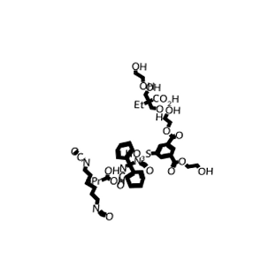 CCC(CO)(CO)C(=O)O.CCCC(O)O.O=C(OCCO)c1cc(C(=O)OCCO)cc(S(=O)(=O)O)c1.O=C=NC(N=C=O)(c1ccccc1)c1ccccc1.O=C=NCCCCCCN=C=O.OCCO